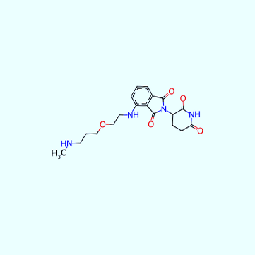 CNCCCOCCNc1cccc2c1C(=O)N(C1CCC(=O)NC1=O)C2=O